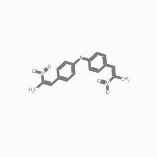 CC(=Cc1ccc(Sc2ccc(C=C(C)[N+](=O)[O-])cc2)cc1)[N+](=O)[O-]